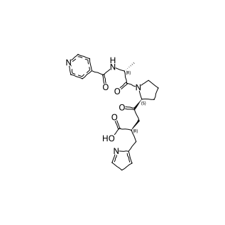 C[C@@H](NC(=O)c1ccncc1)C(=O)N1CCC[C@H]1C(=O)C[C@@H](CC1=CCC=N1)C(=O)O